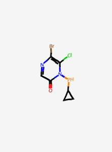 O=c1cnc(Br)c(Cl)n1PC1CC1